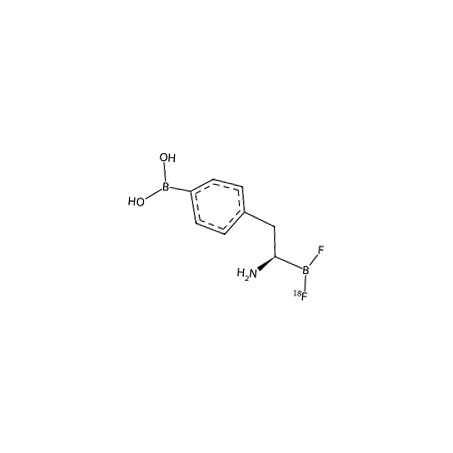 N[C@@H](Cc1ccc(B(O)O)cc1)B(F)[18F]